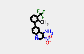 Cc1c(-c2ccc3ncc([N+](=O)[O-])c(N)c3c2)cccc1C(F)(F)F